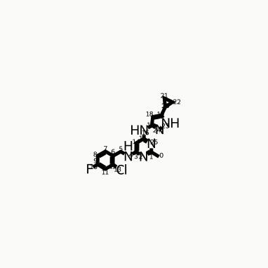 Cc1nc(NCc2ccc(F)cc2Cl)cc(Nc2cc(C3CC3)[nH]n2)n1